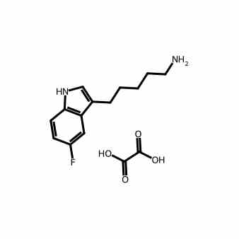 NCCCCCc1c[nH]c2ccc(F)cc12.O=C(O)C(=O)O